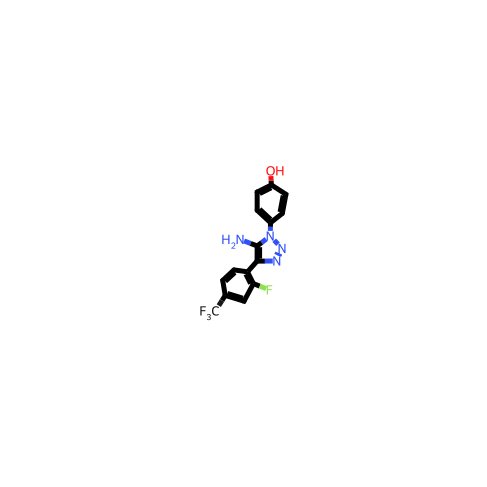 Nc1c(-c2ccc(C(F)(F)F)cc2F)nnn1-c1ccc(O)cc1